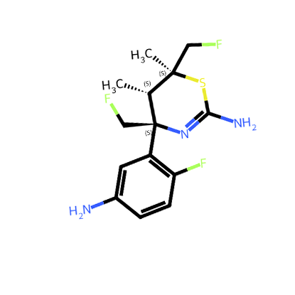 C[C@@H]1[C@@](C)(CF)SC(N)=N[C@]1(CF)c1cc(N)ccc1F